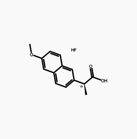 COc1ccc2cc([C@H](C)C(=O)O)ccc2c1.F